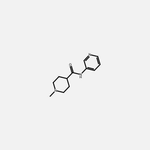 CN1CCC(C(=O)Nc2cccnc2)CC1